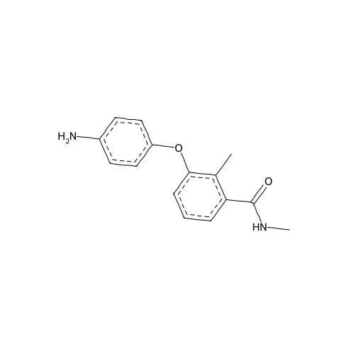 CNC(=O)c1cccc(Oc2ccc(N)cc2)c1C